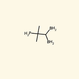 BC(B)C(C)(C)P